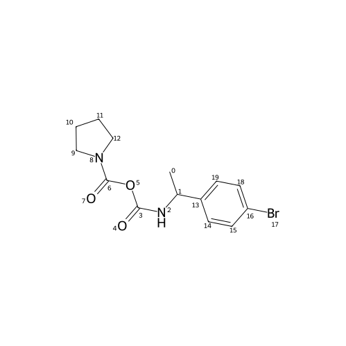 CC(NC(=O)OC(=O)N1CCCC1)c1ccc(Br)cc1